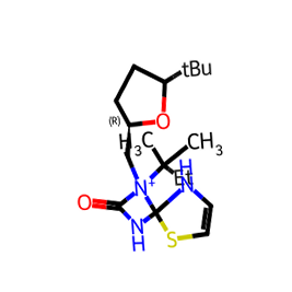 CCC(C)(C)[N+]1(C[C@H]2CCC(C(C)(C)C)O2)C(=O)NC12NC=CS2